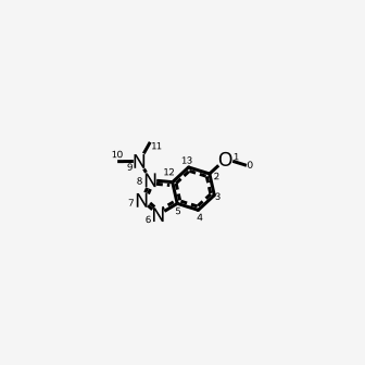 COc1ccc2nnn(N(C)C)c2c1